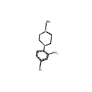 CC(=O)c1ccc(N2CCN(C(C)(C)C)CC2)c([N+](=O)[O-])c1